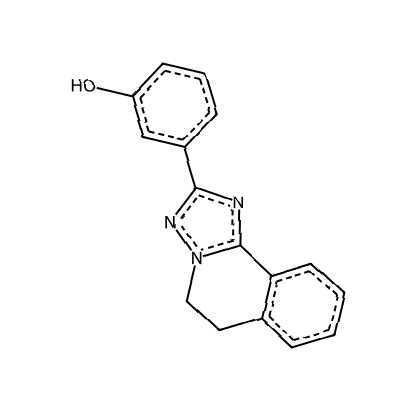 Oc1cccc(-c2nc3n(n2)CCc2ccccc2-3)c1